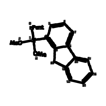 CCCCC[Si](OC)(OC)c1cccc2c1Cc1ccccc1-2